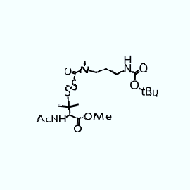 COC(=O)C(NC(C)=O)C(C)(C)SSC(=O)N(C)CCCNC(=O)OC(C)(C)C